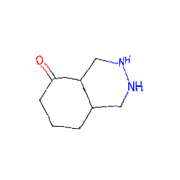 O=C1CCCC2CNNCC12